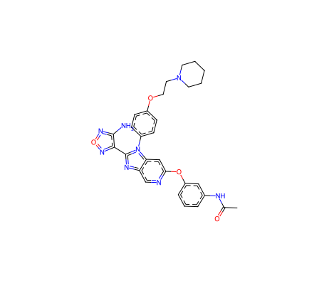 CC(=O)Nc1cccc(Oc2cc3c(cn2)nc(-c2nonc2N)n3-c2ccc(OCCN3CCCCC3)cc2)c1